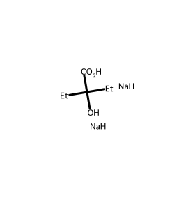 [CH2]CC(O)(CC)C(=O)O.[NaH].[NaH]